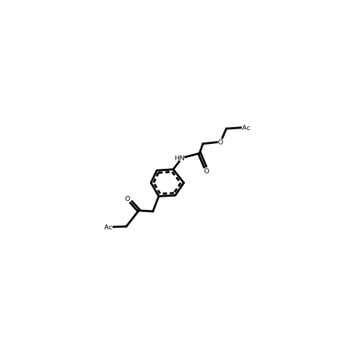 CC(=O)COCC(=O)Nc1ccc(CC(=O)CC(C)=O)cc1